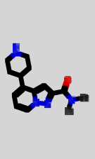 CCN(CC)C(=O)c1cc2c(C3CCNCC3)cccn2n1